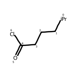 CC(C)CCCC(=O)Cl